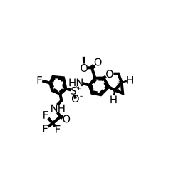 COC(=O)c1c(N[S+]([O-])c2ccc(F)cc2CNC(=O)C(F)(F)F)ccc2c1OC[C@@H]1C[C@H]21